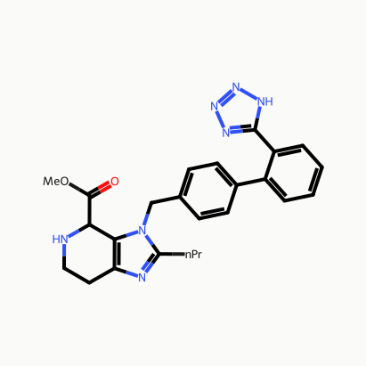 CCCc1nc2c(n1Cc1ccc(-c3ccccc3-c3nnn[nH]3)cc1)C(C(=O)OC)NCC2